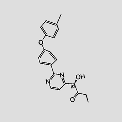 CCC(=O)[C@H](O)c1ccnc(-c2ccc(Oc3ccc(C)cc3)cc2)n1